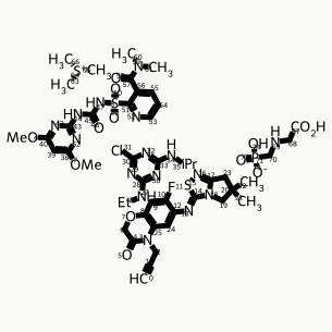 C#CCN1C(=O)COc2cc(F)c(/N=c3\snc4n3CC(C)(C)C4)cc21.CCNc1nc(Cl)nc(NC(C)C)n1.COc1cc(OC)nc(NC(=O)NS(=O)(=O)c2ncccc2C(=O)N(C)C)n1.C[S+](C)C.O=C(O)CNCP(=O)([O-])O